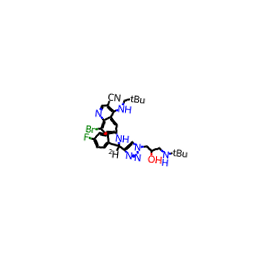 [2H]C(Nc1cc(Br)c2ncc(C#N)c(NCC(C)(C)C)c2c1)(c1ccc(F)cc1)c1cn(CC(O)CNC(C)(C)C)nn1